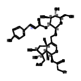 CC(=O)OC[C@]1(O)[C@H]2[C@H](OC(=O)CC(C)C)OC=C(CO[C@@H]3O[C@H](CO)[C@@H](O)[C@H](O)[C@H]3OC(=O)/C=C/c3ccc(O)cc3)[C@H]2C[C@@H]1O